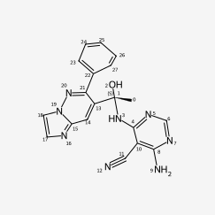 C[C@@](O)(Nc1ncnc(N)c1C#N)c1cc2nccn2nc1-c1ccccc1